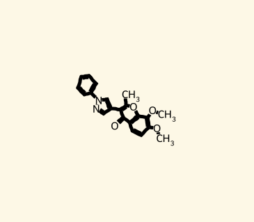 COc1ccc2c(=O)c(-c3cnn(-c4ccccc4)c3)c(C)oc2c1OC